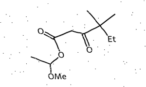 CCC(C)(C)C(=O)CC(=O)OC(C)OC